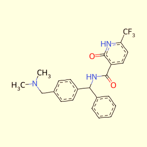 CN(C)Cc1ccc(C(NC(=O)c2ccc(C(F)(F)F)[nH]c2=O)c2ccccc2)cc1